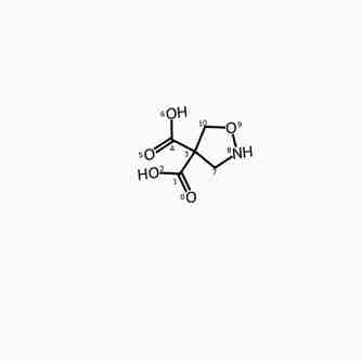 O=C(O)C1(C(=O)O)CNOC1